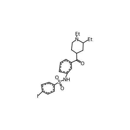 CCC1CC(C(=O)c2cccc(NS(=O)(=O)c3ccc(I)cc3)c2)CCN1CC